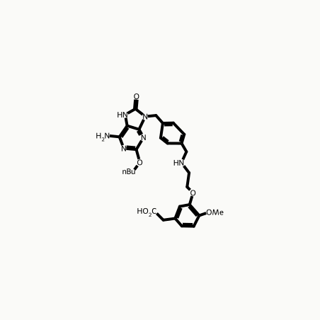 CCCCOc1nc(N)c2[nH]c(=O)n(Cc3ccc(CNCCOc4cc(CC(=O)O)ccc4OC)cc3)c2n1